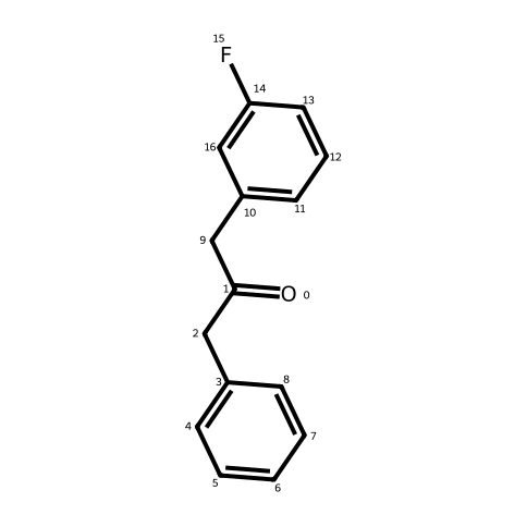 O=C(Cc1ccccc1)Cc1cccc(F)c1